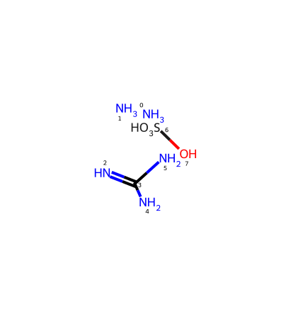 N.N.N=C(N)N.O=S(=O)(O)O